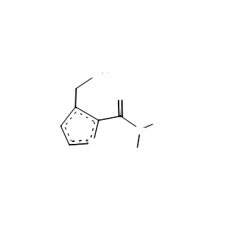 COCc1ccoc1C(=O)N(C)C